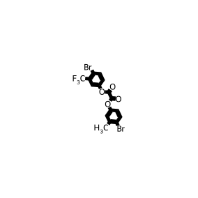 Cc1cc(OC(=O)C(=O)Oc2ccc(Br)c(C(F)(F)F)c2)ccc1Br